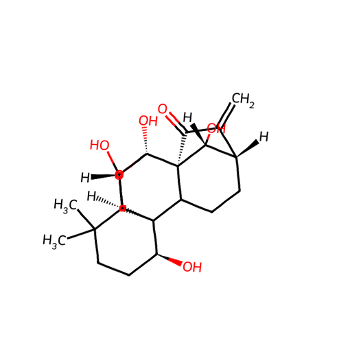 C=C1C(=O)[C@@]23C(CC[C@@H]1[C@H]2O)[C@@]12CO[C@]3(O)[C@@H](O)[C@@H]1C(C)(C)CC[C@@H]2O